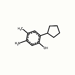 Cc1cc(C2CCCC2)c(O)cc1N